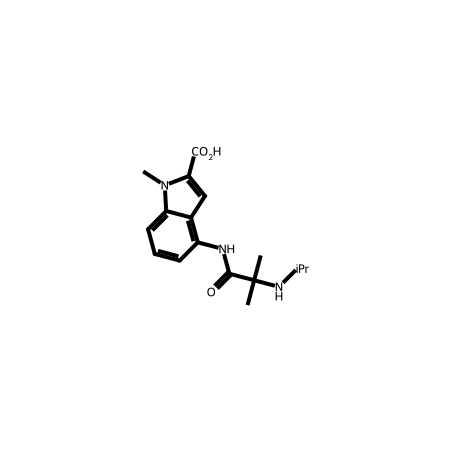 CC(C)NC(C)(C)C(=O)Nc1cccc2c1cc(C(=O)O)n2C